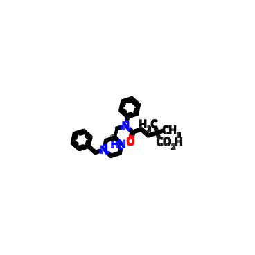 CC(C)(CCC(=O)N(C[C@@H]1CN(Cc2ccccc2)CCN1)c1ccccc1)C(=O)O